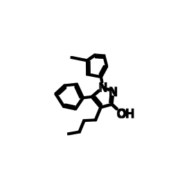 CCCCc1c(O)nn(-c2cccc(C)c2)c1-c1ccccc1